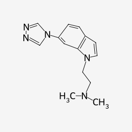 CN(C)CCn1ccc2ccc(-n3cnnc3)cc21